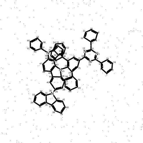 c1ccc(-c2nc(-c3ccccc3)nc(-c3cc(-c4ccccc4)c(-n4c5ccc(-n6c7ccccc7c7ccccc76)cc5c5ccc6c(c7ccccc7n6-c6ccccc6)c54)c(-c4ccccc4)c3)n2)cc1